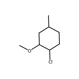 COC1CC(C)CCC1Cl